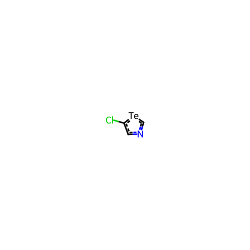 Clc1cnc[te]1